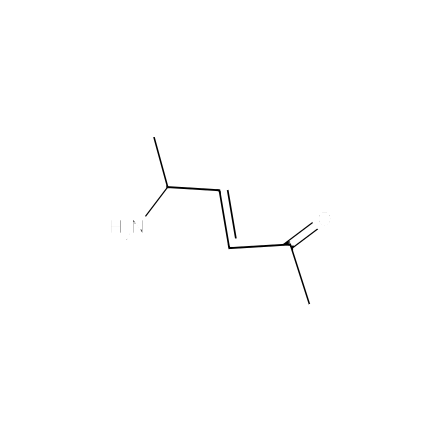 CC(=O)/C=C/C(C)N